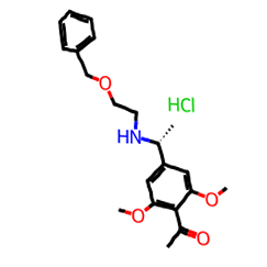 COc1cc([C@@H](C)NCCOCc2ccccc2)cc(OC)c1C(C)=O.Cl